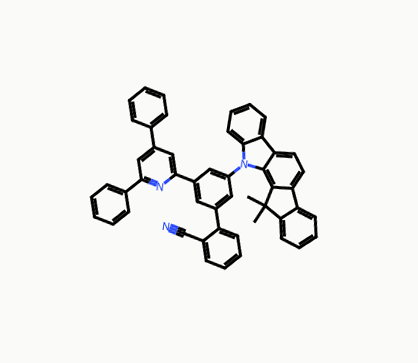 CC1(C)c2ccccc2-c2ccc3c4ccccc4n(-c4cc(-c5cc(-c6ccccc6)cc(-c6ccccc6)n5)cc(-c5ccccc5C#N)c4)c3c21